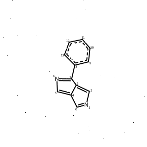 C1=NC=C2C1=CN=C2c1ccccc1